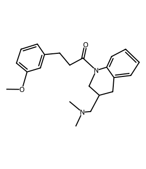 COc1cccc(CCC(=O)N2CC(CN(C)C)Cc3ccccc32)c1